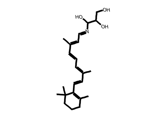 CC(C=CC1=C(C)CCCC1(C)C)=CC=CC(C)=CC=NC(O)C(O)CO